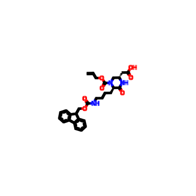 C=CCOC(=O)N1C[C@H](CC(=O)O)NC(=O)[C@H]1CCCCNC(=O)OCC1c2ccccc2-c2ccccc21